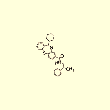 CC(CNC(=O)c1ccc2c(c1)N=C(C1CCCCC1)c1ccccc1S2)c1ccccc1